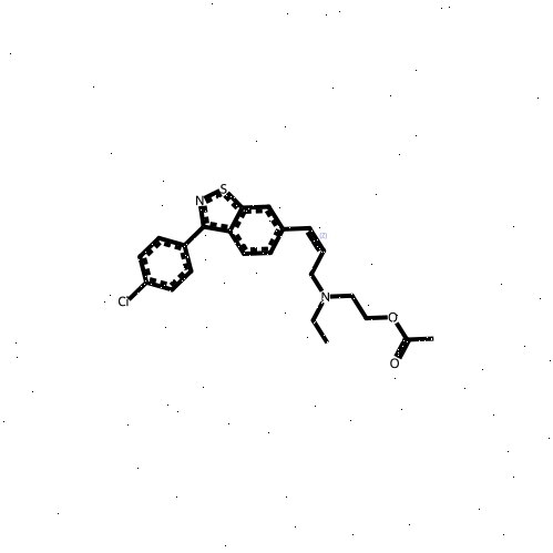 CCN(C/C=C\c1ccc2c(-c3ccc(Cl)cc3)nsc2c1)CCOC(C)=O